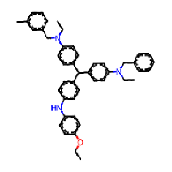 CCOc1ccc(Nc2ccc(C(c3ccc(N(CC)Cc4ccccc4)cc3)c3ccc(N(CC)Cc4cccc(C)c4)cc3)cc2)cc1